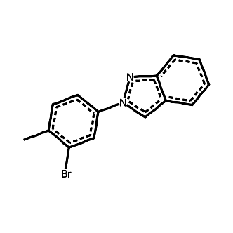 Cc1ccc(-n2cc3ccccc3n2)cc1Br